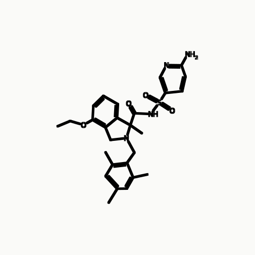 CCOc1cccc2c1CN(Cc1c(C)cc(C)cc1C)C2(C)C(=O)NS(=O)(=O)c1ccc(N)nc1